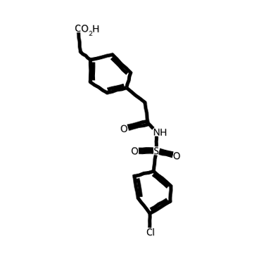 O=C(O)Cc1ccc(CC(=O)NS(=O)(=O)c2ccc(Cl)cc2)cc1